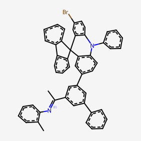 C/C(=N\c1ccccc1C)c1cc(-c2ccccc2)cc(-c2ccc3c(c2)C2(c4ccccc4-c4ccccc42)c2cc(Br)ccc2N3c2ccccc2)c1